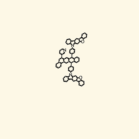 c1cncc(-c2cc3ccccc3c3cc4c(-c5ccc(-n6c7ccccc7c7cc8c(cc76)oc6ccccc68)cc5)c5ccccc5c(-c5ccc(-n6c7ccccc7c7cc8c(cc76)oc6ccccc68)cc5)c4cc23)c1